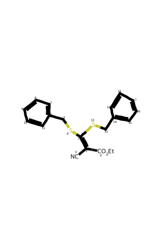 CCOC(=O)C(C#N)=C(SCc1ccccc1)SCc1ccccc1